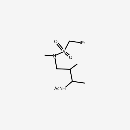 CC(=O)NC(C)C(C)CN(C)S(=O)(=O)CC(C)C